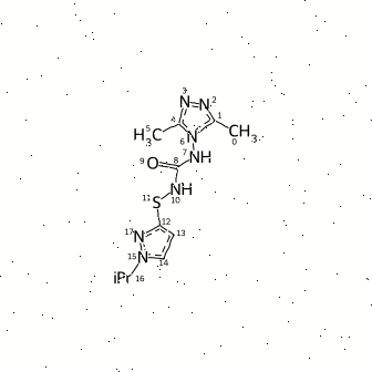 Cc1nnc(C)n1NC(=O)NSc1ccn(C(C)C)n1